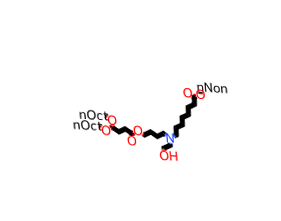 CCCCCCCCCOC(=O)CCCCCCCN(CCO)CCCCOC(=O)CCC(OCCCCCCCC)OCCCCCCCC